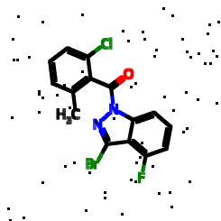 Cc1cccc(Cl)c1C(=O)n1nc(Br)c2c(F)cccc21